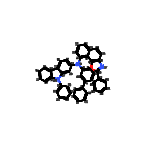 c1ccc(-c2cccc(N(c3ccc4c5ccccc5n(-c5ccccc5)c4c3)c3cccc4ccc5nc(-c6ccccc6)oc5c34)c2)cc1